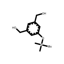 CC(C)(C)[Si](C)(C)Oc1cc(CO)cc(CO)c1